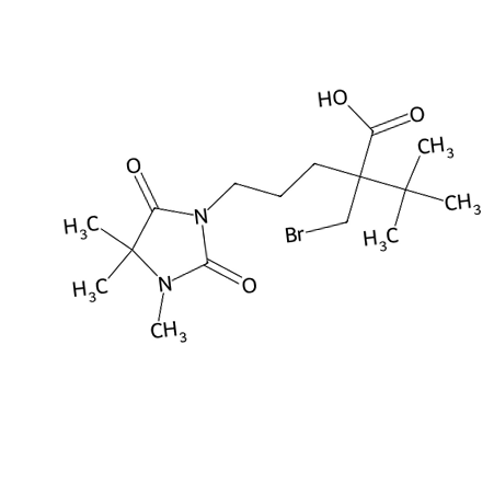 CN1C(=O)N(CCCC(CBr)(C(=O)O)C(C)(C)C)C(=O)C1(C)C